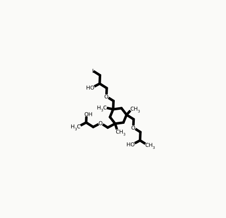 CC(O)COCC1(C)CC(C)(COCC(C)O)CC(C)(COCC(O)CI)C1